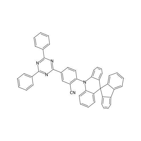 N#Cc1cc(-c2nc(-c3ccccc3)nc(-c3ccccc3)n2)ccc1N1c2ccccc2C2(c3ccccc3-c3ccccc32)c2ccccc21